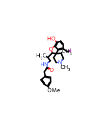 COc1ccc(CC(=O)NCC(C)C2Oc3c(O)ccc(CI)c3C23CCN(C)CC3C)cc1